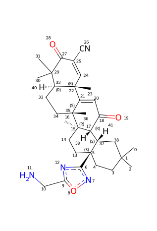 CC1(C)CC[C@]2(c3noc(CN)n3)CC[C@]3(C)[C@H](C(=O)C=C4[C@@]5(C)C=C(C#N)C(=O)C(C)(C)[C@@H]5CC[C@]43C)[C@@H]2C1